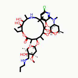 CCCNC[C@]1(O)[C@H](C)O[C@@H](OC2C(C)C(=O)OC(CC)C(C)(O)C(O)C(C)NCC(C)CC(C)(O)C(O[C@@H]3O[C@H](C)C[C@H](N(C)C)[C@H]3Oc3cnc(Cl)cc3C)C2C)C[C@@]1(C)OC